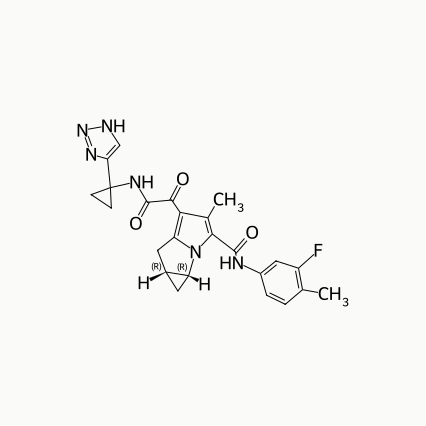 Cc1ccc(NC(=O)c2c(C)c(C(=O)C(=O)NC3(c4c[nH]nn4)CC3)c3n2[C@@H]2C[C@@H]2C3)cc1F